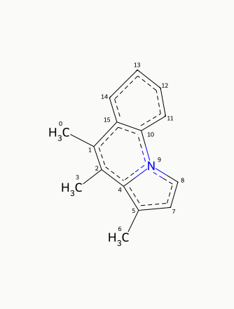 Cc1c(C)c2c(C)ccn2c2ccccc12